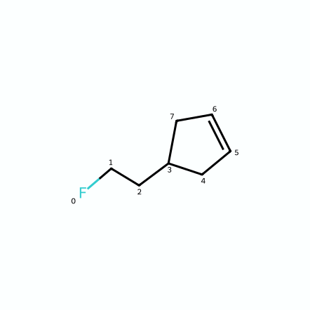 FCCC1CC=CC1